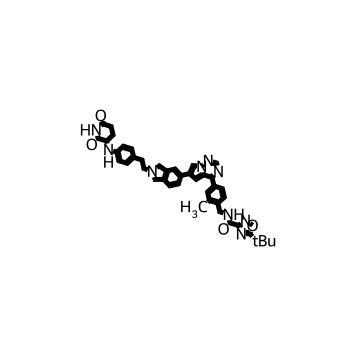 Cc1cc(-c2ncnn3cc(-c4ccc5c(c4)CN(CCc4ccc(NC6CCC(=O)NC6=O)cc4)C5)cc23)ccc1CNC(=O)c1noc(C(C)(C)C)n1